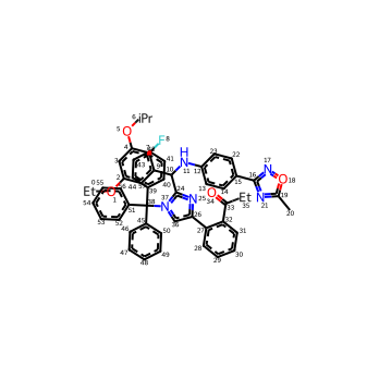 CCOc1cc(OC(C)C)c(F)c(C(Nc2ccc(-c3noc(C)n3)cc2)c2nc(-c3ccccc3C(=O)CC)cn2C(c2ccccc2)(c2ccccc2)c2ccccc2)c1